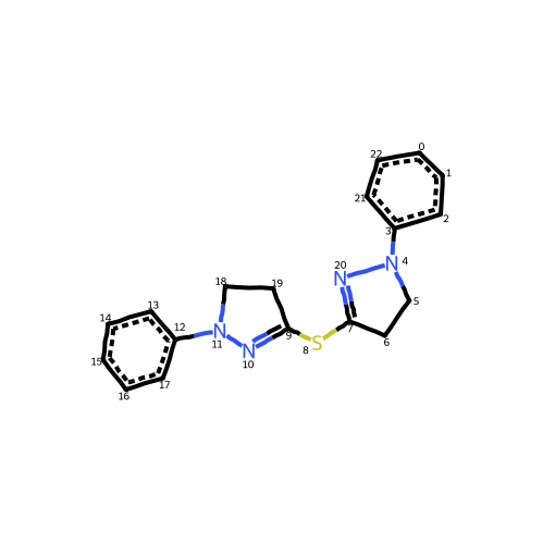 c1ccc(N2CCC(SC3=NN(c4ccccc4)CC3)=N2)cc1